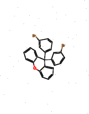 Brc1cccc(C2(c3cccc(Br)c3)c3ccccc3Oc3ccccc32)c1